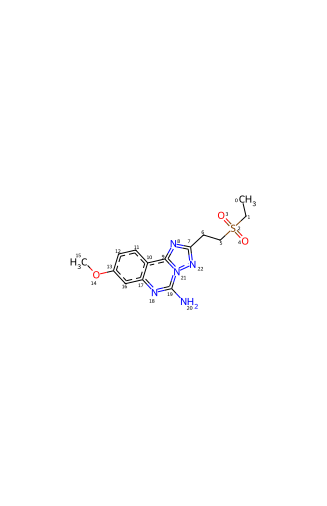 CCS(=O)(=O)CCc1nc2c3ccc(OC)cc3nc(N)n2n1